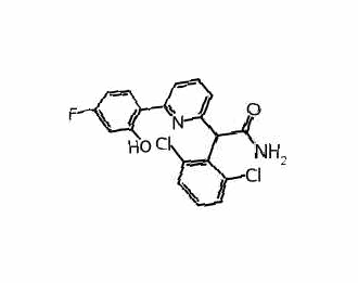 NC(=O)C(c1cccc(-c2ccc(F)cc2O)n1)c1c(Cl)cccc1Cl